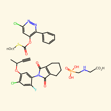 C#CC(C)Oc1cc(N2C(=O)C3=C(CCCC3)C2=O)c(F)cc1Cl.CCCCCCCCSC(=O)Oc1cc(Cl)nnc1-c1ccccc1.O=C(O)CNCP(=O)(O)O